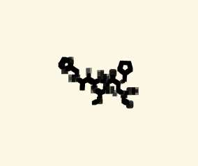 C=C(NCc1nccs1)/C(F)=C(\N=C(/N)SC)NNC(=O)[C@H](CC1CCCC1)CN(O)C=O